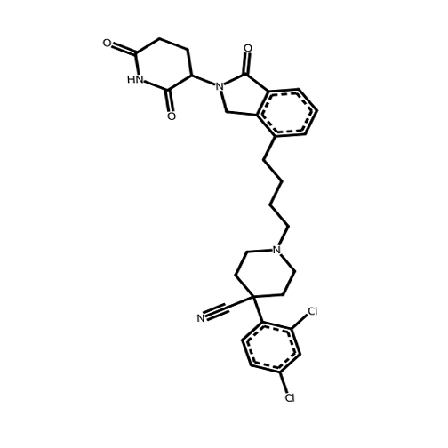 N#CC1(c2ccc(Cl)cc2Cl)CCN(CCCCc2cccc3c2CN(C2CCC(=O)NC2=O)C3=O)CC1